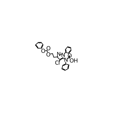 O=C(OCCc1nn(-c2ccccc2)c(N(C(=O)O)c2ccccc2)c1Cl)Oc1ccccc1